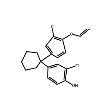 O=COc1ccc(C2(c3ccc(O)c(Cl)c3)CCCCC2)cc1Cl